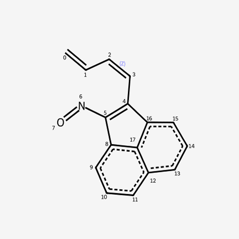 C=C/C=C\C1=C(N=O)c2cccc3cccc1c23